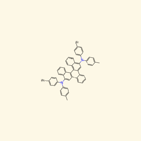 Cc1ccc(N(c2ccc(C(C)C)cc2)c2cc3c4ccccc4c4cc(N(c5ccc(C)cc5)c5ccc(C(C)C)cc5)c5ccccc5c4c3c3ccccc23)cc1